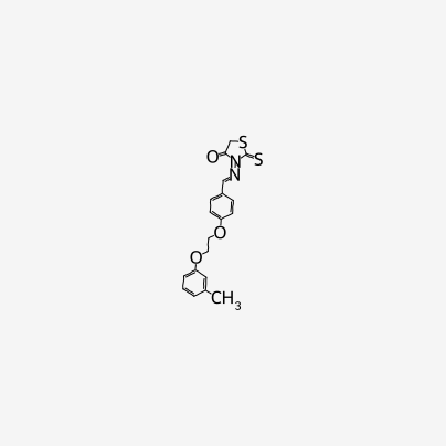 Cc1cccc(OCCOc2ccc(C=NN3C(=O)CSC3=S)cc2)c1